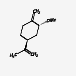 C=C(C)[C@H]1CCC(=C)[C@H](OC)C1